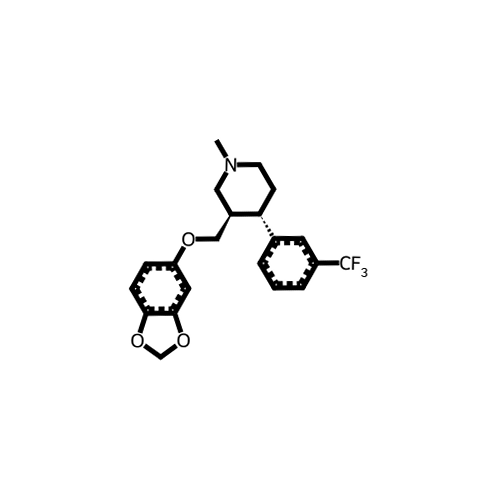 CN1CC[C@H](c2cccc(C(F)(F)F)c2)[C@@H](COc2ccc3c(c2)OCO3)C1